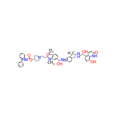 Cc1ccc(C(O)NCc2ccc(CC(C)NC[C@H](O)c3ccc(O)c4[nH]c(=O)ccc34)cc2)cc1N(C)C(=O)CCN1CCC(OC(=O)Nc2ccccc2-c2ccccc2)CC1